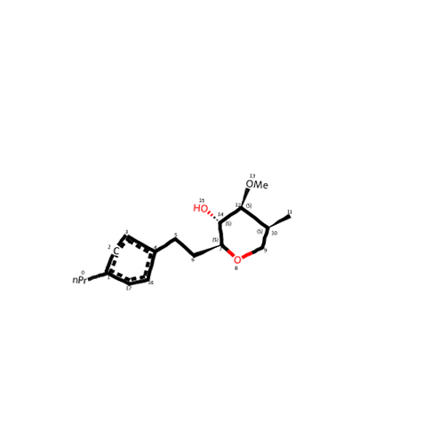 CCCc1ccc(CC[C@@H]2OC[C@H](C)[C@H](OC)[C@H]2O)cc1